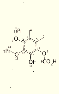 CCCOc1c(C)c(C)c(OC(=O)O)c(O)c1OCCC